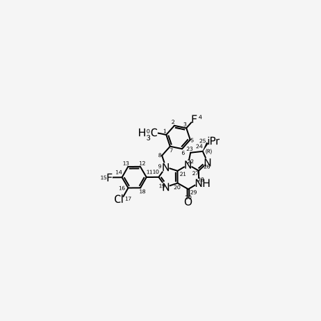 Cc1cc(F)ccc1Cn1c(-c2ccc(F)c(Cl)c2)nc2c1N1C[C@@H](C(C)C)N=C1NC2=O